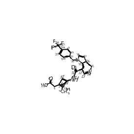 C[C@H]1C2(CC(=O)O)CC1(NC(=O)c1cncc3ccn(Cc4ccc(C(F)(F)F)cc4)c13)C2